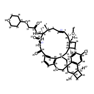 CO[C@H]1/C=C/C[C@H](C)[C@](C)(NC(=O)COC2CCOCC2)/[SH](=O)=N\C(=O)c2ccc3c(c2)N(C[C@@H]2CC[C@H]21)C[C@]1(CO3)C[C@@H]2CC[C@@H]2c2cc(Cl)ccc21